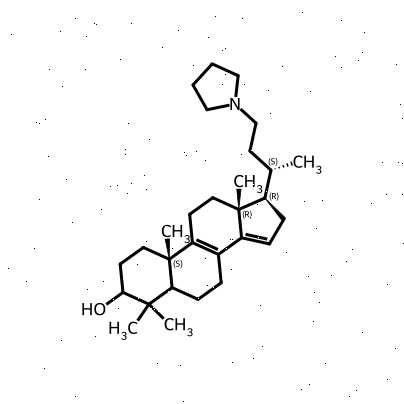 C[C@@H](CCN1CCCC1)[C@H]1CC=C2C3=C(CC[C@@]21C)[C@@]1(C)CCC(O)C(C)(C)C1CC3